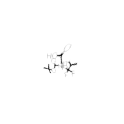 CC(C[C@H](NC(=O)OC(C)(C)C)C(=O)O)C(F)(F)F